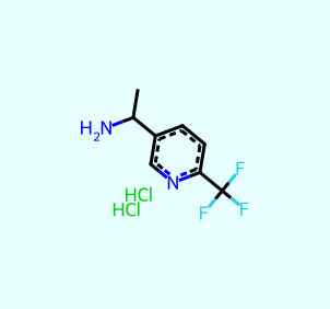 CC(N)c1ccc(C(F)(F)F)nc1.Cl.Cl